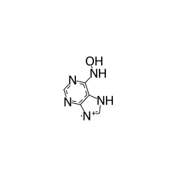 ONc1ncnc2c1NC=[N+]2